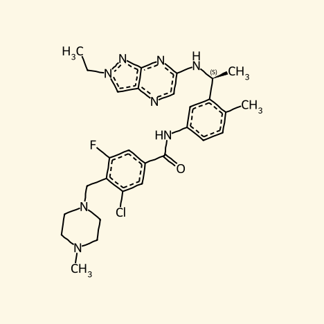 CCn1cc2ncc(N[C@@H](C)c3cc(NC(=O)c4cc(F)c(CN5CCN(C)CC5)c(Cl)c4)ccc3C)nc2n1